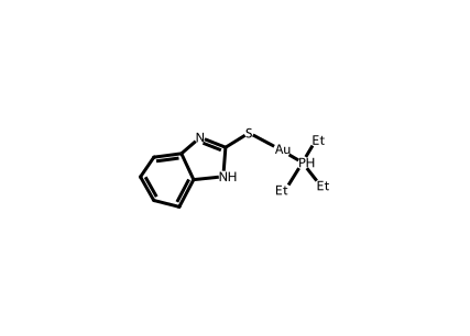 CC[PH](CC)(CC)[Au][S]c1nc2ccccc2[nH]1